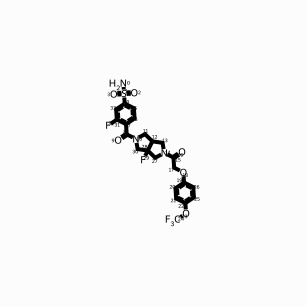 NS(=O)(=O)c1ccc(C(=O)N2CC3CN(C(=O)COc4ccc(OC(F)(F)F)cc4)CC3(F)C2)c(F)c1